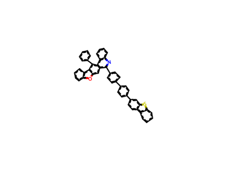 c1ccc(-c2c3c(cc4c(-c5ccc(-c6ccc(-c7ccc8c(c7)sc7ccccc78)cc6)cc5)nc5ccccc5c24)oc2ccccc23)cc1